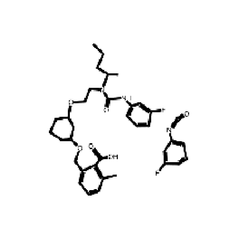 CCCC(C)N(CCOC1CCCC(OCc2cccc(C)c2C(=O)O)C1)C(=O)Nc1cccc(F)c1.O=C=Nc1cccc(F)c1